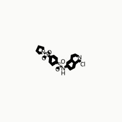 O=S(=O)(Nc1ccc2c(Cl)nccc2c1)c1ccc(S(=O)(=O)N2CCCC2)cc1